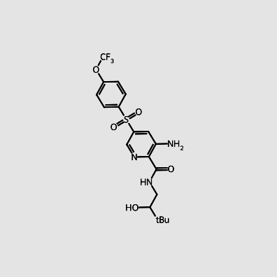 CC(C)(C)C(O)CNC(=O)c1ncc(S(=O)(=O)c2ccc(OC(F)(F)F)cc2)cc1N